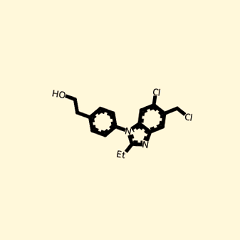 CCc1nc2cc(CCl)c(Cl)cc2n1-c1ccc(CCO)cc1